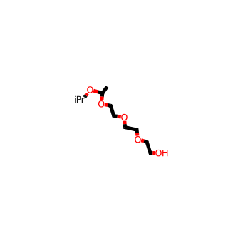 CC(C)OC(C)OCCOCCOCCO